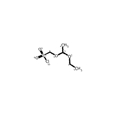 CCOC(C)OCS(=O)(=O)Cl